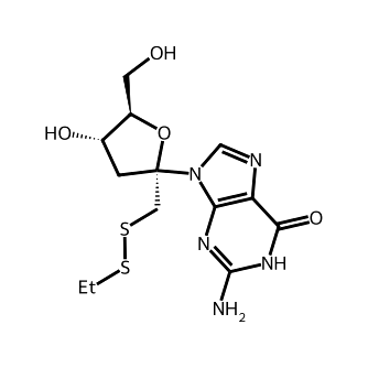 CCSSC[C@]1(n2cnc3c(=O)[nH]c(N)nc32)C[C@H](O)[C@@H](CO)O1